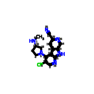 CN[C@H]1CCN(c2c(Cl)cnc3[nH]c4cnc(C#N)cc4c23)C1